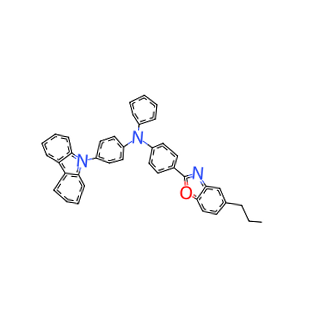 CCCc1ccc2oc(-c3ccc(N(c4ccccc4)c4ccc(-n5c6ccccc6c6ccccc65)cc4)cc3)nc2c1